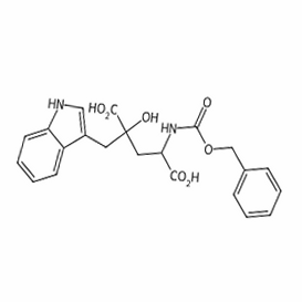 O=C(NC(CC(O)(Cc1c[nH]c2ccccc12)C(=O)O)C(=O)O)OCc1ccccc1